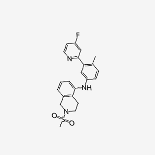 Cc1ccc(Nc2cccc3c2CCN(S(C)(=O)=O)C3)cc1-c1cc(F)ccn1